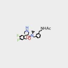 CC(=O)NCCc1cccc(CN(C(=O)[C@H]2CNCC[C@@]23OCc2cc(F)c(F)cc23)C2CC2)c1